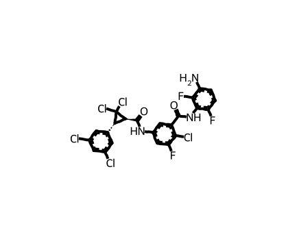 Nc1ccc(F)c(NC(=O)c2cc(NC(=O)[C@H]3[C@H](c4cc(Cl)cc(Cl)c4)C3(Cl)Cl)cc(F)c2Cl)c1F